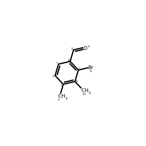 Cc1ccc([C]=O)c(Br)c1C